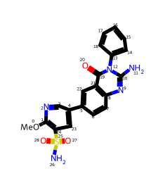 COc1ncc(-c2ccc3nc(N)n(-c4ccccc4)c(=O)c3c2)cc1S(N)(=O)=O